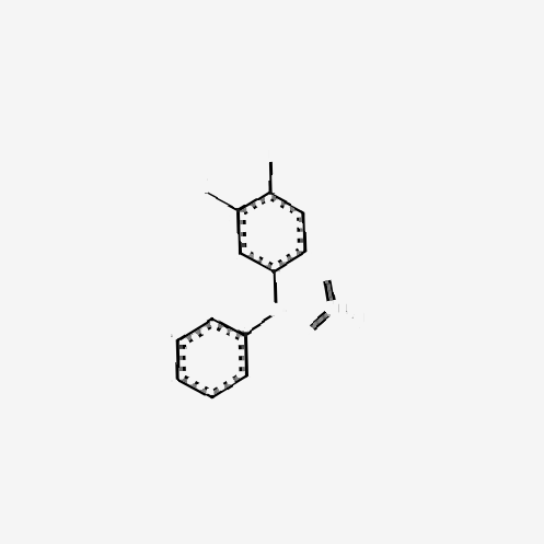 Fc1cc[c]([Fe+][c]2ccccc2)cc1Cl.O=[SH2]=O.[Cl-]